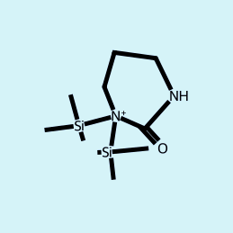 C[Si](C)(C)[N+]1([Si](C)(C)C)CCCNC1=O